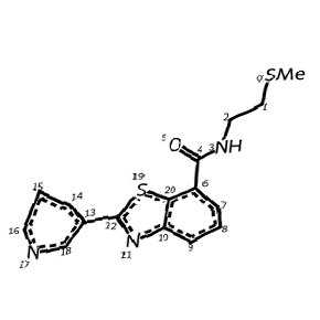 CSCCNC(=O)c1cccc2nc(-c3cccnc3)sc12